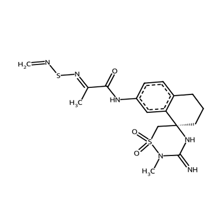 C=NS/N=C(\C)C(=O)Nc1ccc2c(c1)[C@]1(CCC2)CS(=O)(=O)N(C)C(=N)N1